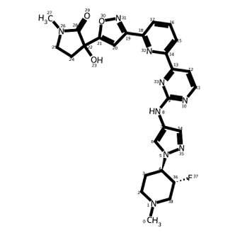 CN1CC[C@@H](n2cc(Nc3nccc(-c4cccc(-c5cc(C6(O)CCN(C)C6=O)on5)n4)n3)cn2)[C@H](F)C1